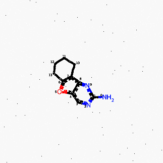 Nc1ncc2oc3c(c2n1)CCCC3